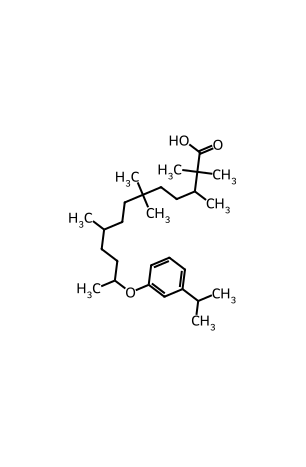 CC(CCC(C)Oc1cccc(C(C)C)c1)CCC(C)(C)CCC(C)C(C)(C)C(=O)O